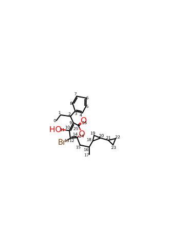 CCC(c1ccccc1)c1c(O)c(Br)c(CC(C)C2CC2C2CC2)oc1=O